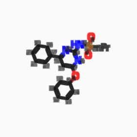 CCCS(=O)(=O)Nc1nc(Oc2ccccc2)cc(-c2ccccc2)n1